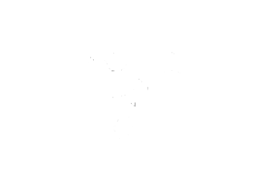 NC(=O)OC(C(=O)N1Cc2ccc([N+](=O)[O-])cc2[C@H]1C(=O)Nc1c(F)cccc1F)C1CCOCC1